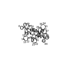 COC(=O)N[C@H](C(=O)N[C@@H](Cc1ccccc1)C(C(=O)c1ccccn1)C(=O)N(CC1CCCCC1)NC(=O)[C@@H](NC(=O)OC)C(C)C)C(C)C